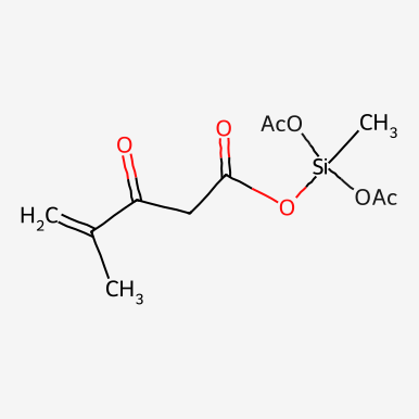 C=C(C)C(=O)CC(=O)O[Si](C)(OC(C)=O)OC(C)=O